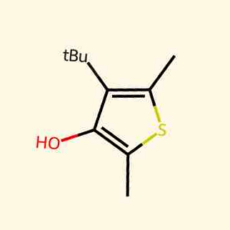 Cc1sc(C)c(C(C)(C)C)c1O